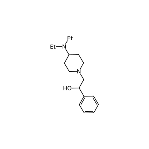 CCN(CC)C1CCN(CC(O)c2ccccc2)CC1